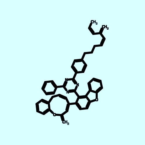 C=C(/C=C\C)/C=C\CCCc1ccc(-c2nc(-c3ccccc3)nc(-c3c(C4=C/C(=C)Oc5ccccc5C/C=C\4)ccc4oc5ccccc5c34)n2)cc1